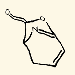 O=C1OC2=NC1CC=C2